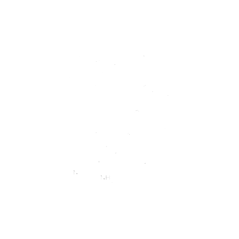 Nc1cccc(-c2cccc(-c3cccc(-c4cccc(-c5ccccc5)c4)c3)c2)c1N